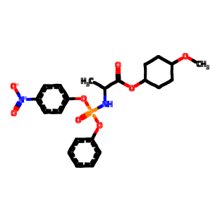 COC1CCC(OC(=O)C(C)NP(=O)(Oc2ccccc2)Oc2ccc([N+](=O)[O-])cc2)CC1